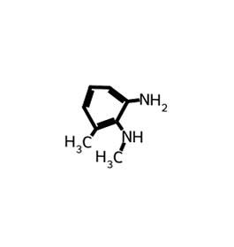 CNc1c(C)cccc1N